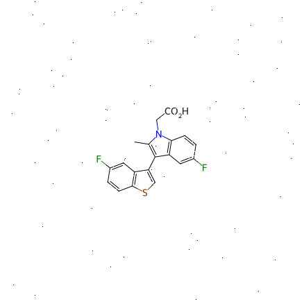 Cc1c(-c2csc3ccc(F)cc23)c2cc(F)ccc2n1CC(=O)O